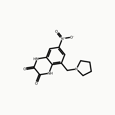 O=c1[nH]c2cc([N+](=O)[O-])cc(CN3CCCC3)c2[nH]c1=O